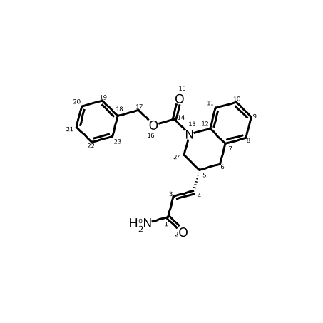 NC(=O)C=C[C@H]1Cc2ccccc2N(C(=O)OCc2ccccc2)C1